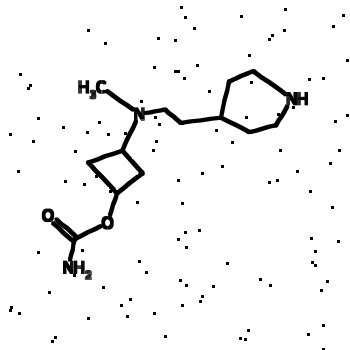 CN(CCC1CCNCC1)C1CC(OC(N)=O)C1